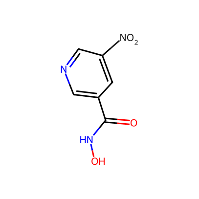 O=C(NO)c1cncc([N+](=O)[O-])c1